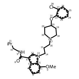 COc1cccc2c(C(=O)NCC(C)C)cn(CCCN3CCC(Oc4ccccc4Cl)CC3)c12